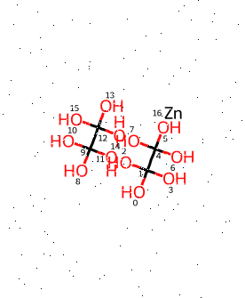 OC(O)(O)C(O)(O)O.OC(O)(O)C(O)(O)O.[Zn]